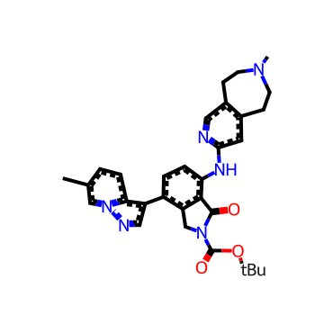 Cc1ccc2c(-c3ccc(Nc4cc5c(cn4)CCN(C)CC5)c4c3CN(C(=O)OC(C)(C)C)C4=O)cnn2c1